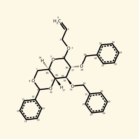 C=CCOC1O[C@@H]2COC(c3ccccc3)O[C@H]2[C@H](OCc2ccccc2)[C@H]1OCc1ccccc1